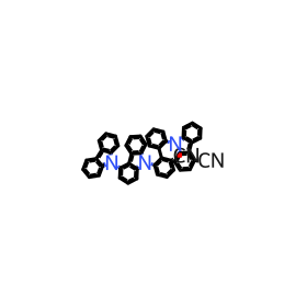 N#Cc1cccc(-n2c3ccccc3c3c(-n4c5ccccc5c5ccccc54)cccc32)c1-c1ccccc1-n1c2ccccc2c2c(C#N)cccc21